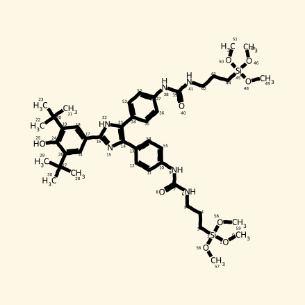 CO[Si](CCCNC(=O)Nc1ccc(-c2nc(-c3cc(C(C)(C)C)c(O)c(C(C)(C)C)c3)[nH]c2-c2ccc(NC(=O)NCCC[Si](OC)(OC)OC)cc2)cc1)(OC)OC